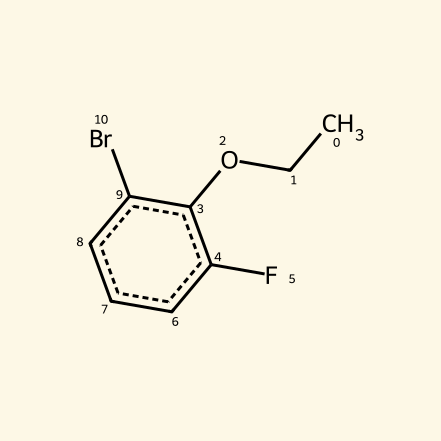 CCOc1c(F)cccc1Br